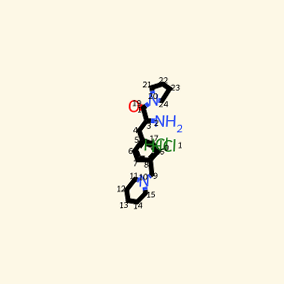 Cl.Cl.NC(Cc1ccc(CN2CCCCC2)cc1)C(=O)N1CCCC1